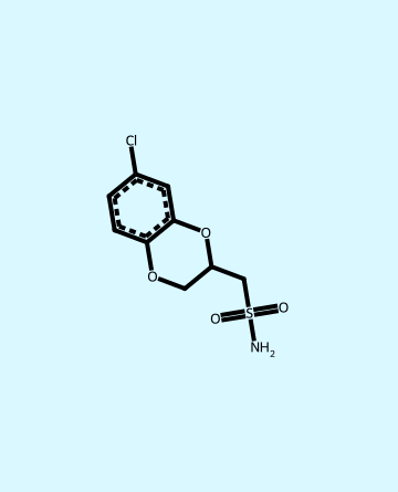 NS(=O)(=O)CC1COc2ccc(Cl)cc2O1